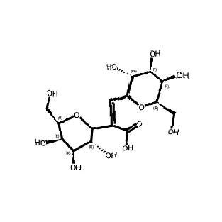 O=C(O)C(=CC1O[C@H](CO)[C@H](O)[C@H](O)[C@H]1O)C1O[C@H](CO)[C@H](O)[C@H](O)[C@H]1O